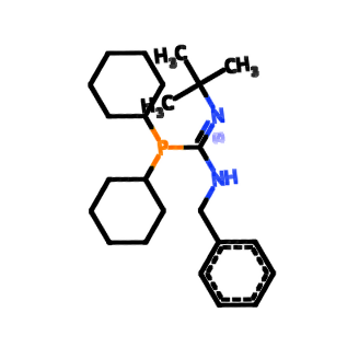 CC(C)(C)/N=C(/NCc1ccccc1)P(C1CCCCC1)C1CCCCC1